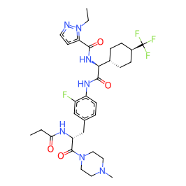 CCC(=O)N[C@H](Cc1ccc(NC(=O)[C@@H](NC(=O)c2ccnn2CC)[C@H]2CC[C@H](C(F)(F)F)CC2)c(F)c1)C(=O)N1CCN(C)CC1